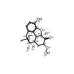 CN1CC[C@]23c4c5ccc(O)c4O[C@H]2C(=O)C(OO)C[C@H]3[C@H]1C5